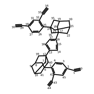 C#Cc1ccc(C23CC4CC(CC(c5ccc(C67CC8CC(C6)CC(c6ccc(C#C)cc6C#C)(C8)C7)cc5)(C4)C2)C3)c(C#C)c1